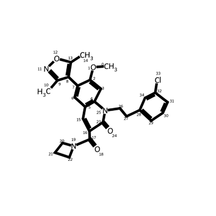 COc1cc2c(cc1-c1c(C)noc1C)cc(C(=O)N1CCC1)c(=O)n2CCc1cccc(Cl)c1